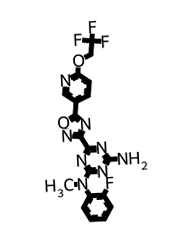 CN(c1nc(N)nc(-c2noc(-c3ccc(OCC(F)(F)F)nc3)n2)n1)c1ccccc1F